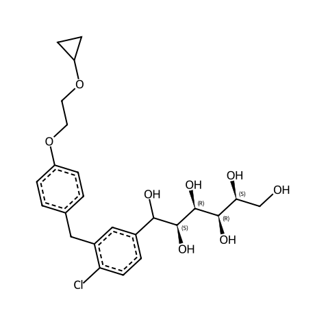 OC[C@H](O)[C@@H](O)[C@H](O)[C@@H](O)C(O)c1ccc(Cl)c(Cc2ccc(OCCOC3CC3)cc2)c1